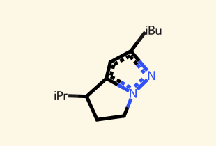 CCC(C)c1cc2n(n1)CCC2C(C)C